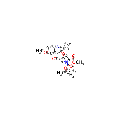 COC(=O)[C@@H]1C[C@]2(CC(=O)c3c(c(C4CCC4)nc4ccc(OC)cc34)O2)CN1C(=O)OC(C)(C)C